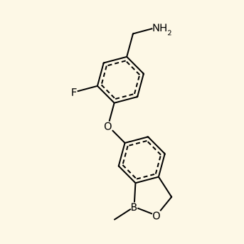 CB1OCc2ccc(Oc3ccc(CN)cc3F)cc21